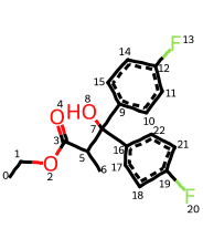 CCOC(=O)C(C)C(O)(c1ccc(F)cc1)c1ccc(F)cc1